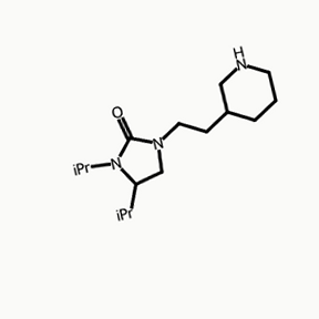 CC(C)C1CN(CCC2CCCNC2)C(=O)N1C(C)C